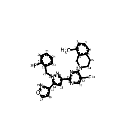 Cc1cccc2c1CN(c1nc(-c3cc(-c4ccon4)n(Cc4ccccc4F)n3)ncc1F)CC2